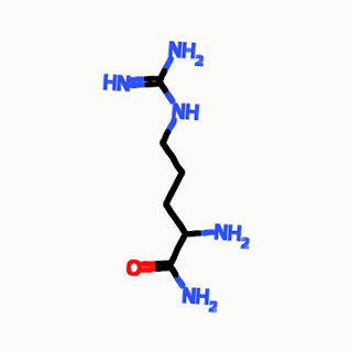 N=C(N)NCCCC(N)C(N)=O